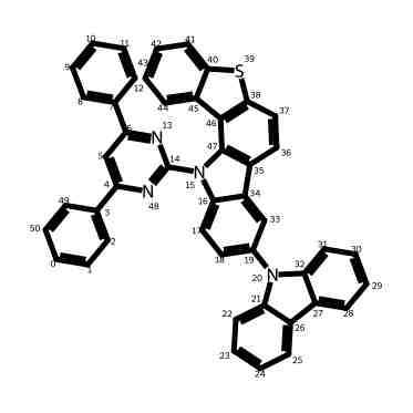 c1ccc(-c2cc(-c3ccccc3)nc(-n3c4ccc(-n5c6ccccc6c6ccccc65)cc4c4ccc5sc6ccccc6c5c43)n2)cc1